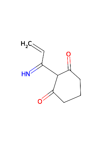 C=CC(=N)C1C(=O)CCCC1=O